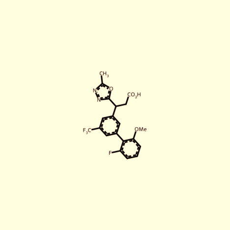 COc1cccc(F)c1-c1cc(C(CC(=O)O)c2nnc(C)o2)cc(C(F)(F)F)c1